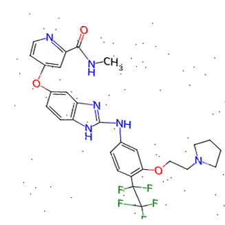 CNC(=O)c1cc(Oc2ccc3[nH]c(Nc4ccc(C(F)(F)C(F)(F)F)c(OCCN5CCCC5)c4)nc3c2)ccn1